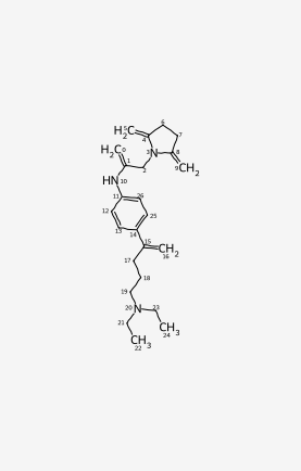 C=C(CN1C(=C)CCC1=C)Nc1ccc(C(=C)CCCN(CC)CC)cc1